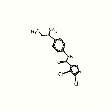 CCC(C)c1ccc(NC(=O)c2snc(Cl)c2Cl)cc1